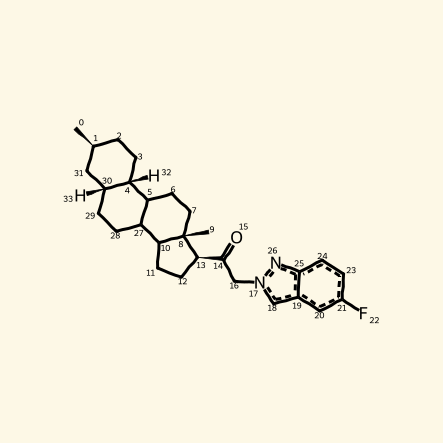 C[C@H]1CC[C@@H]2C3CC[C@@]4(C)C(CC[C@@H]4C(=O)Cn4cc5cc(F)ccc5n4)C3CC[C@@H]2C1